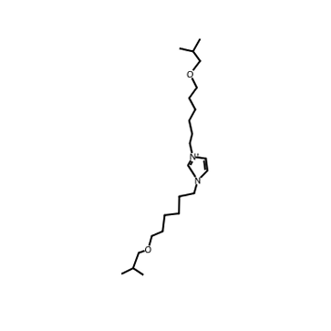 CC(C)COCCCCCCn1cc[n+](CCCCCCOCC(C)C)c1